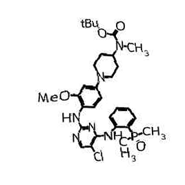 COc1cc(N2CCC(N(C)C(=O)OC(C)(C)C)CC2)ccc1Nc1ncc(Cl)c(Nc2ccccc2P(C)(C)=O)n1